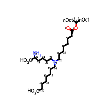 CCCCCCCCC(CCCCCCCC)OC(=O)CCCCCCCN(CCCCCCCC(=O)O)CCCCC(N)C(=O)O